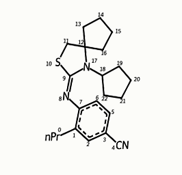 CCCc1cc(C#N)ccc1/N=C1/SCC2(CCCC2)N1C1CCCC1